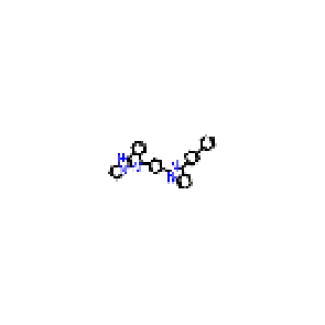 c1ccc(-c2ccc(-c3nc(-c4ccc(-c5nc6c(nc7ccccn76)c6ccccc56)cc4)nc4ccccc34)cc2)cc1